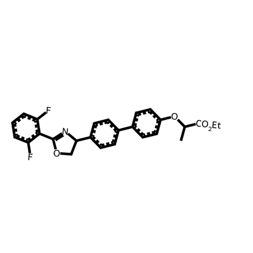 CCOC(=O)C(C)Oc1ccc(-c2ccc(C3COC(c4c(F)cccc4F)=N3)cc2)cc1